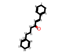 O=C(/C=C/C1=CCCC=C1)CCCC1=CCCC=C1